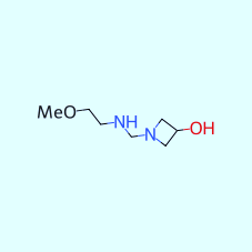 COCCNCN1CC(O)C1